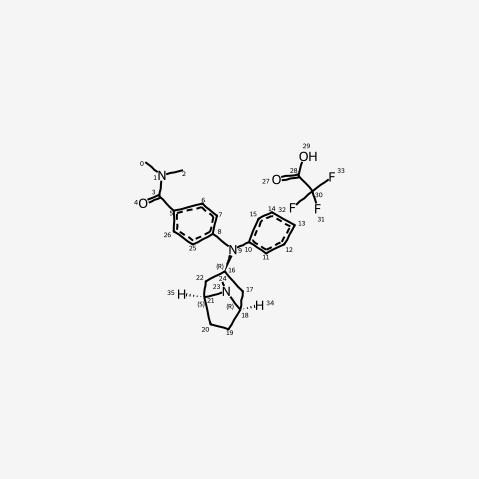 CN(C)C(=O)c1ccc(N(c2ccccc2)[C@H]2C[C@H]3CC[C@@H](C2)N3C)cc1.O=C(O)C(F)(F)F